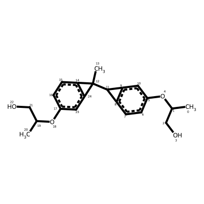 CC(CO)Oc1ccc2c(c1)C2C1(C)c2ccc(OC(C)CO)cc21